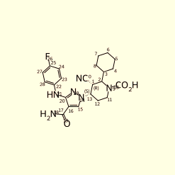 N#C[C@@H]1C(C2CCCCC2)N(C(=O)O)CC[C@@H]1n1cc(C(N)=O)c(Nc2ccc(F)cc2)n1